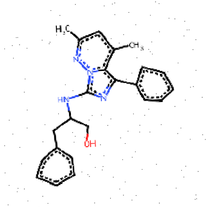 Cc1cc(C)c2c(-c3ccccc3)nc(NC(CO)Cc3ccccc3)n2n1